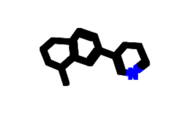 CC1CCCc2ccc(C3=CN=CCC3)cc21